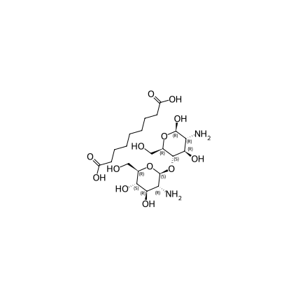 N[C@@H]1[C@@H](O)[C@H](O[C@@H]2O[C@H](CO)[C@@H](O)[C@H](O)[C@H]2N)[C@@H](CO)O[C@H]1O.O=C(O)CCCCCCCC(=O)O